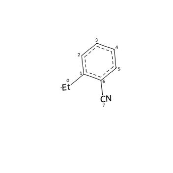 C[CH]c1ccccc1C#N